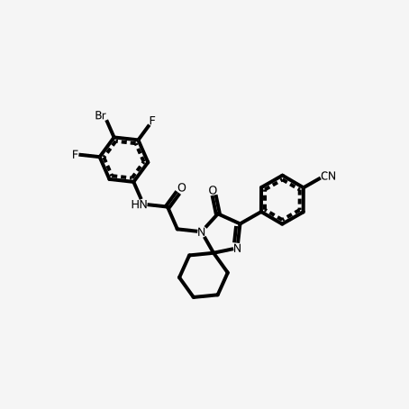 N#Cc1ccc(C2=NC3(CCCCC3)N(CC(=O)Nc3cc(F)c(Br)c(F)c3)C2=O)cc1